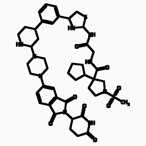 CS(=O)(=O)N1CCC(C(=O)NCC(=O)NC2NC(c3cccc(C4CCNC(N5CCN(c6ccc7c(c6)C(=O)N(C6CCC(=O)NC6=O)C7=O)CC5)C4)c3)CS2)(C2CCCC2)C1